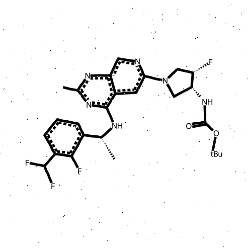 Cc1nc(N[C@H](C)c2cccc(C(F)F)c2F)c2cc(N3C[C@H](F)[C@H](NC(=O)OC(C)(C)C)C3)ncc2n1